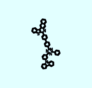 c1ccc(-c2nc(-c3ccc(-c4ccc(-c5nc6cc7ccccc7cc6c6c5sc5ccccc56)cc4)cc3)nc(-c3cccc(-n4c5ccccc5c5ccccc54)c3)n2)cc1